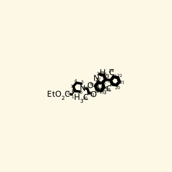 CCOC(=O)C[C@H]1CCCN(C(=O)[C@@H](C)Oc2ccc3c(-c4c(C)cccc4C)ccnc3c2)C1